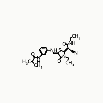 CCNC(=O)C(C#N)=c1sc(=CNc2cccc(NC(=O)C(C)C)c2)c(=O)n1CC